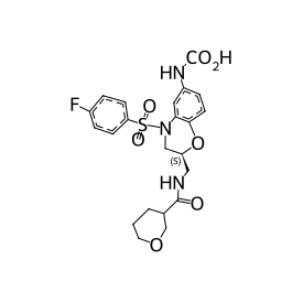 O=C(O)Nc1ccc2c(c1)N(S(=O)(=O)c1ccc(F)cc1)C[C@H](CNC(=O)C1CCCOC1)O2